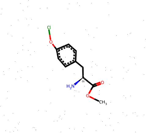 COC(=O)[C@@H](N)Cc1ccc(OCl)cc1